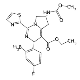 Bc1cc(F)ccc1[C@@H]1N=C(c2nccs2)N2C[C@H](NC(=O)OC)CC2=C1C(=O)OCC